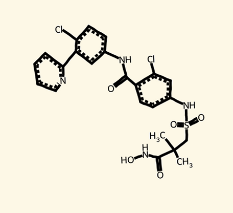 CC(C)(CS(=O)(=O)Nc1ccc(C(=O)Nc2ccc(Cl)c(-c3ccccn3)c2)c(Cl)c1)C(=O)NO